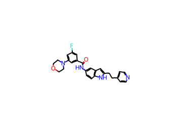 O=C(Nc1ccc2[nH]c(CCc3ccncc3)cc2c1)c1cc(F)cc(N2CCOCC2)c1